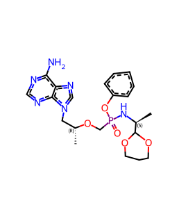 C[C@H](Cn1cnc2c(N)ncnc21)OCP(=O)(N[C@@H](C)C1OCCCO1)Oc1ccccc1